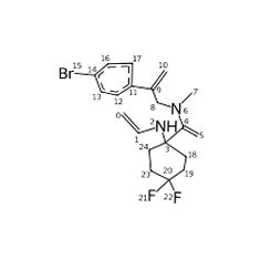 C=CNC1(C(=C)N(C)CC(=C)c2ccc(Br)cc2)CCC(F)(F)CC1